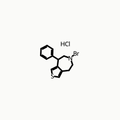 BrN1CCc2cscc2C(c2ccccc2)C1.Cl